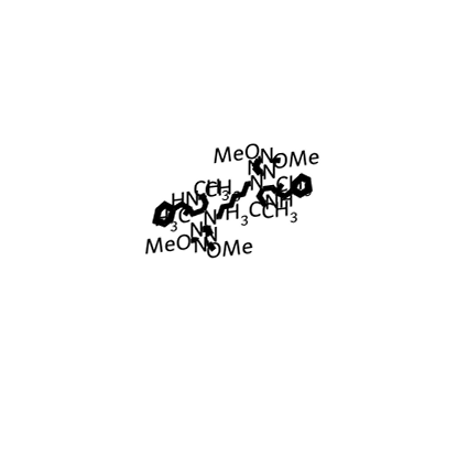 COc1nc(OC)nc(N(CCCCCCN(c2nc(OC)nc(OC)n2)C2CC(C)(C)NC(C)(Cc3ccccc3)C2)C2CC(C)(C)NC(C)(Cc3ccccc3)C2)n1